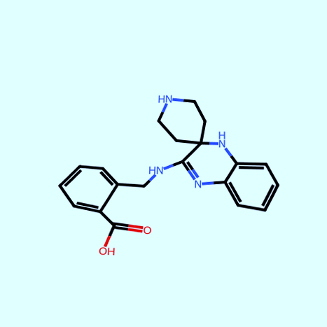 O=C(O)c1ccccc1CNC1=Nc2ccccc2NC12CCNCC2